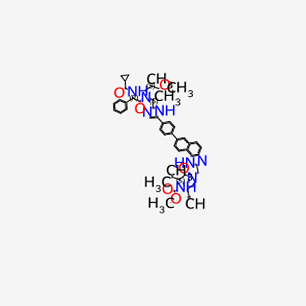 C#CCCN(Cc1nc2ccc3cc(-c4ccc(-c5cnc([C@H](C)N(C[C@H](C)COC)C(=O)[C@H](NC(=O)C6CC6)c6ccccc6)[nH]5)cc4)ccc3c2[nH]1)C(=O)[C@@H](NC(=O)OC)C(C)C